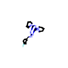 Fc1ccc(CNc2nc(N3CCCCC3)nc(N3CCCCC3)n2)cc1